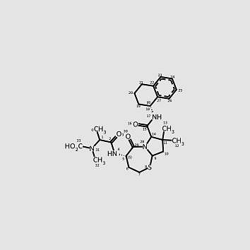 CC(C(=O)N[C@H]1CCSC2CC(C)(C)C(C(=O)N[C@@H]3CCCc4ccccc43)N2C1=O)N(C)C(=O)O